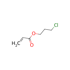 C=CC(=O)OCCCCl